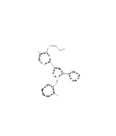 O=C(O)[C@H](CO)Nc1nc(-c2cc(-c3ccon3)n(Cc3ccccc3F)n2)ncc1F